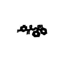 O=C(CCC(O)(c1ccccc1)c1ccccc1)Nc1cncc(F)c1